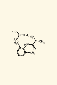 CN(C)C.Cc1cccc(C)c1NC(=O)C(C)N